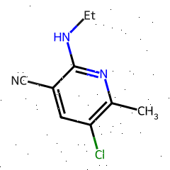 CCNc1nc(C)c(Cl)cc1C#N